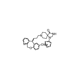 COc1ccc2c(c1)C(=CCCN1CCC3(CC1)C(=O)NCN3c1ccccc1)c1cccnc1CO2